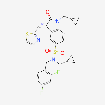 O=C1/C(=C/c2nccs2)c2cc(S(=O)(=O)N(Cc3ccc(F)cc3F)CC3CC3)ccc2N1CC1CC1